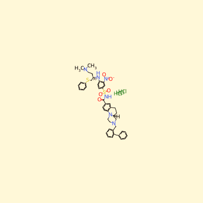 CN(C)CC[C@H](CSc1ccccc1)Nc1ccc(S(=O)(=O)NC(=O)c2ccc3c(c2)CC[C@@H]2CN(Cc4ccccc4-c4ccccc4)CCN32)cc1[N+](=O)[O-].Cl.Cl.Cl